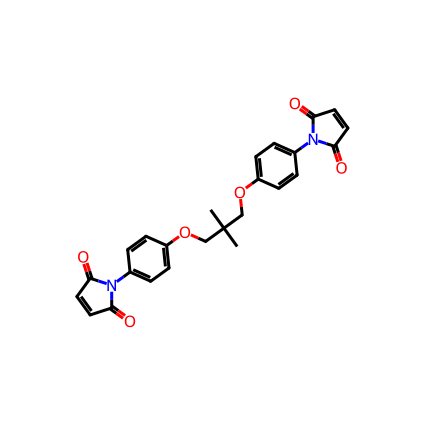 CC(C)(COc1ccc(N2C(=O)C=CC2=O)cc1)COc1ccc(N2C(=O)C=CC2=O)cc1